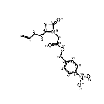 C=CCSC1CC(=O)N1CC(=O)OCc1ccc([N+](=O)[O-])cc1